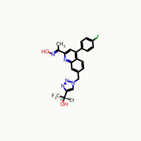 CC[C@](O)(c1cn(Cc2ccc3c(-c4ccc(F)cc4)cc(C(C)=NO)nc3c2)nn1)C(F)(F)F